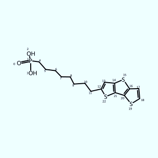 O=P(O)(O)CCCCCCCCc1cc2sc3ccsc3c2s1